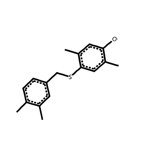 Cc1ccc(CSc2cc(C)c([O])cc2C)cc1C